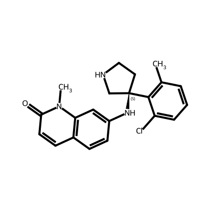 Cc1cccc(Cl)c1[C@@]1(Nc2ccc3ccc(=O)n(C)c3c2)CCNC1